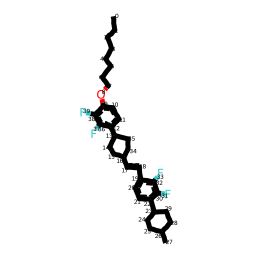 CCCCCCCCOc1ccc(C2CCC(/C=C/c3ccc(C4CCC(C)CC4)c(F)c3F)CC2)c(F)c1F